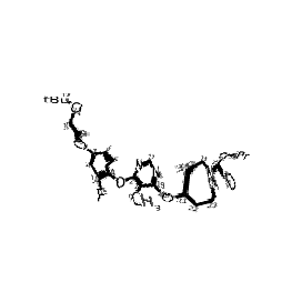 Cc1c(Oc2ccc(OCCOC(C)(C)C)cc2F)ncnc1OC1CCN(C(=O)OC(C)C)CC1